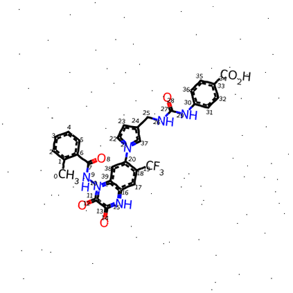 Cc1ccccc1C(=O)Nn1c(=O)c(=O)[nH]c2cc(C(F)(F)F)c(-n3ccc(CNC(=O)Nc4ccc(C(=O)O)cc4)c3)cc21